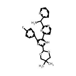 CC1(C)COC(c2nc(-c3ccc(F)cc3)c(-c3ccnc(C(N)c4ccccn4)n3)[nH]2)OC1